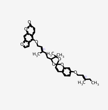 CC/C(C)=C/COc1ccc2c(c1)OC1(C=C2)OC(CC/C(C)=C/COc2c3ccoc3cc3oc(=O)ccc23)C(C)(C)O1